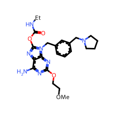 CCNC(=O)Oc1nc2c(N)nc(OCCOC)nc2n1Cc1cccc(CN2CCCC2)c1